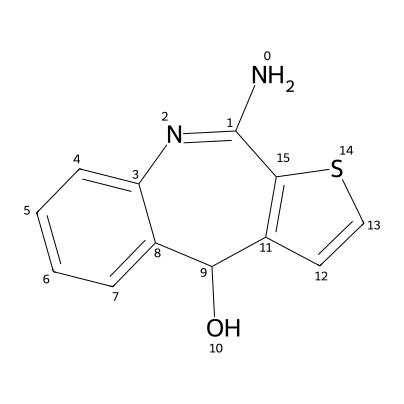 NC1=Nc2ccccc2C(O)c2ccsc21